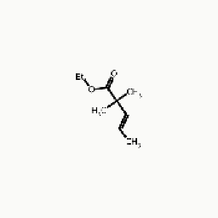 C/C=C/C(C)(C)C(=O)OCC